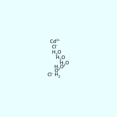 O.O.O.O.O.[Cd+2].[Cl-].[Cl-]